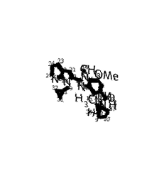 COc1cc(C(=O)N2C[C@H]3CC[C@@H]2C3N(C)C)cc2nc(-c3cc4cccnc4n3CC3CC3)n(C)c12